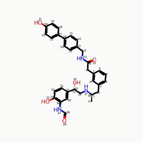 C[C@H](Cc1cccc(CC(=O)NCc2ccc(-c3ccc(O)cc3)cc2)c1)NC[C@@H](O)c1ccc(O)c(NC=O)c1